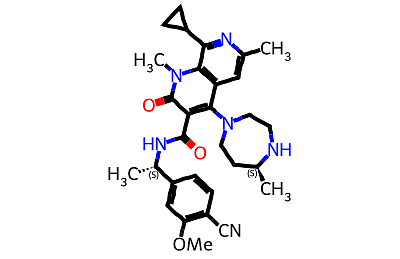 COc1cc([C@H](C)NC(=O)c2c(N3CCN[C@@H](C)CC3)c3cc(C)nc(C4CC4)c3n(C)c2=O)ccc1C#N